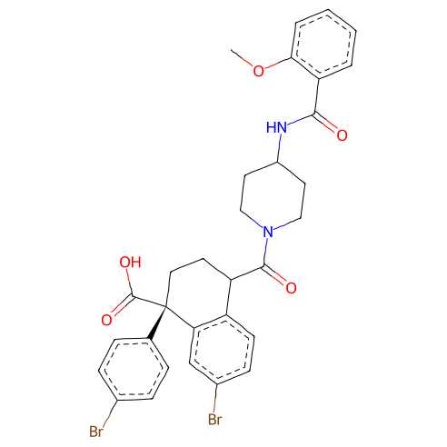 COc1ccccc1C(=O)NC1CCN(C(=O)C2CC[C@](C(=O)O)(c3ccc(Br)cc3)c3cc(Br)ccc32)CC1